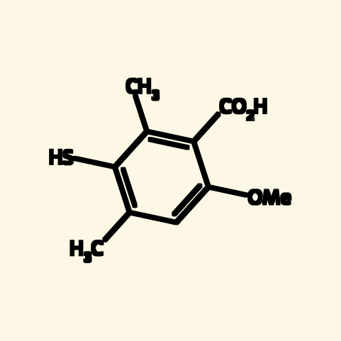 COc1cc(C)c(S)c(C)c1C(=O)O